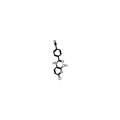 N#Cc1ccc(C(=O)Nc2ccc(Cl)nc2O)cc1